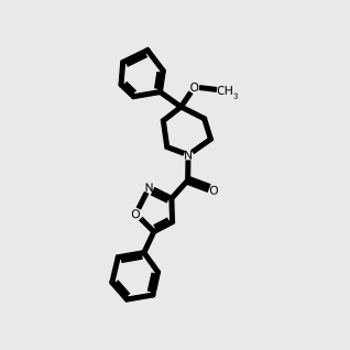 COC1(c2ccccc2)CCN(C(=O)c2cc(-c3ccccc3)on2)CC1